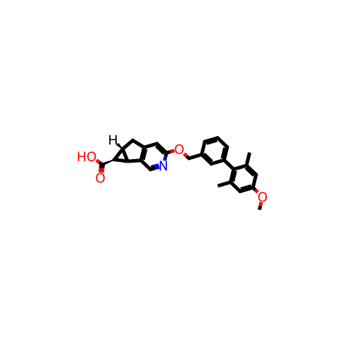 COc1cc(C)c(-c2cccc(COc3cc4c(cn3)C3[C@@H](C4)[C@@H]3C(=O)O)c2)c(C)c1